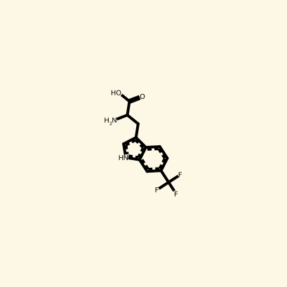 NC(Cc1c[nH]c2cc(C(F)(F)F)ccc12)C(=O)O